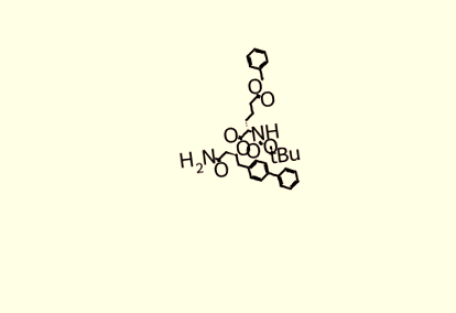 CC(C)(C)OC(=O)N[C@@H](CCCC(=O)OCc1ccccc1)C(=O)O[C@H](CC(N)=O)Cc1ccc(-c2ccccc2)cc1